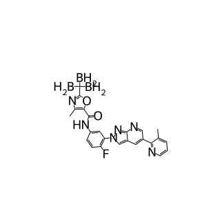 BC(B)(B)c1nc(C)c(C(=O)Nc2ccc(F)c(-n3cc4cc(-c5ncccc5C)cnc4n3)c2)o1